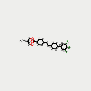 CCCC12COC(C3CCC(CCC4CCC(c5cc(F)c(F)c(F)c5)CC4)CC3)(OC1)OC2